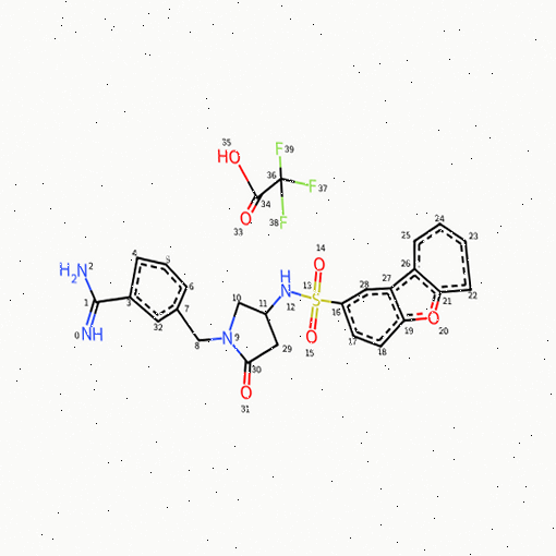 N=C(N)c1cccc(CN2CC(NS(=O)(=O)c3ccc4oc5ccccc5c4c3)CC2=O)c1.O=C(O)C(F)(F)F